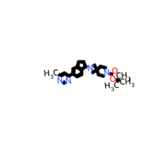 Cc1cc(-c2ccc3c(c2)CCC3N2CC3(CCN(C(=O)OC(C)(C)C)CC3)C2)ncn1